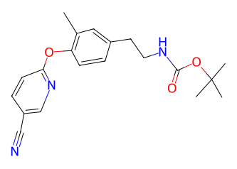 Cc1cc(CCNC(=O)OC(C)(C)C)ccc1Oc1ccc(C#N)cn1